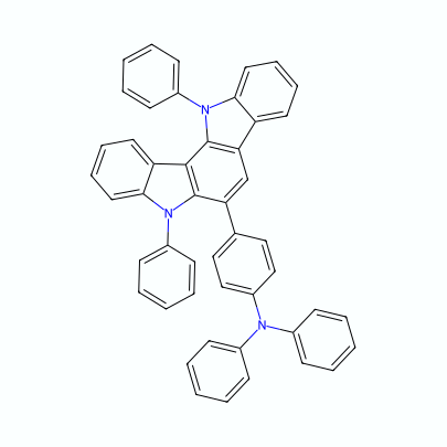 c1ccc(N(c2ccccc2)c2ccc(-c3cc4c5ccccc5n(-c5ccccc5)c4c4c5ccccc5n(-c5ccccc5)c34)cc2)cc1